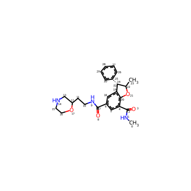 CNC(=O)c1cc(C(=O)NCCC2CNCCO2)cc2c1OC(C)[C@H]2c1ccccc1